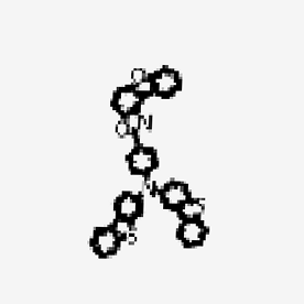 c1ccc2c(c1)oc1ccc3oc(-c4ccc(N(c5ccc6c(c5)sc5ccccc56)c5ccc6sc7ccccc7c6c5)cc4)nc3c12